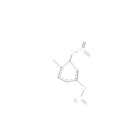 O=[SH](=O)Nc1ccc(O)c(N[SH](=O)=O)c1